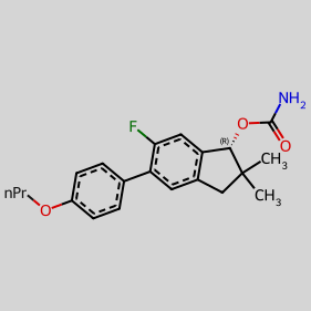 CCCOc1ccc(-c2cc3c(cc2F)[C@H](OC(N)=O)C(C)(C)C3)cc1